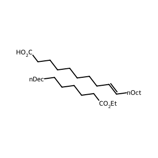 CCCCCCCC/C=C/CCCCCCCC(=O)O.CCCCCCCCCCCCCCCC(=O)OCC